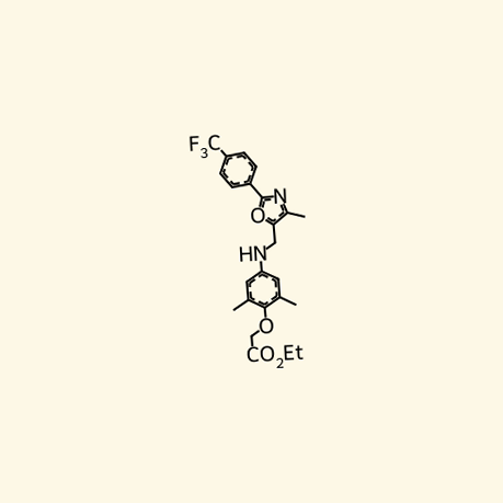 CCOC(=O)COc1c(C)cc(NCc2oc(-c3ccc(C(F)(F)F)cc3)nc2C)cc1C